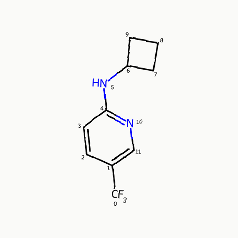 FC(F)(F)c1ccc(NC2CCC2)nc1